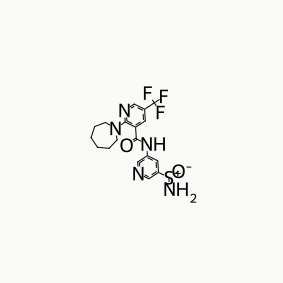 N[S+]([O-])c1cncc(NC(=O)c2cc(C(F)(F)F)cnc2N2CCCCCC2)c1